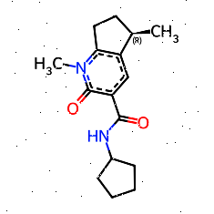 C[C@@H]1CCc2c1cc(C(=O)NC1CCCC1)c(=O)n2C